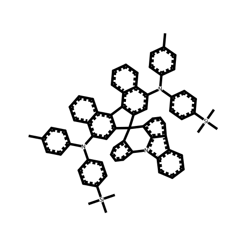 Cc1ccc(N(c2ccc([Si](C)(C)C)cc2)c2cc3c(c4ccccc24)-c2c(cc(N(c4ccc(C)cc4)c4ccc([Si](C)(C)C)cc4)c4ccccc24)C32c3ccccc3-n3c4ccccc4c4cccc2c43)cc1